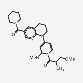 CNC1C=C(N2CCCc3cc(C(=O)N4CCCCC4)cnc32)C=CN1C(=O)C(C)COC